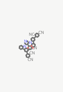 N#Cc1cccc(-c2c(-n3c4ccccc4c4cc(-c5ccc(C#N)cc5C#N)ccc43)cncc2-n2c3ccccc3c3cc(-c4ccc(C#N)cc4C#N)ccc32)c1